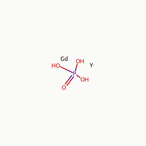 O=P(O)(O)O.[Gd].[Y]